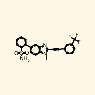 NS(=O)(=O)c1ccccc1-c1ccc2[nH]c(C#Cc3cccc(C(F)(F)F)c3)nc2c1